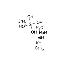 O.O[Si](O)(O)O.[AlH3].[CaH2].[KH].[NaH].[SrH2]